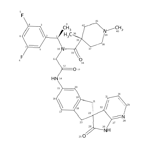 C[C@H](c1cc(F)cc(F)c1)N(CC(=O)Nc1ccc2c(c1)C[C@@]1(C2)C(=O)Nc2ncccc21)C(=O)C1(C)CCN(C)CC1